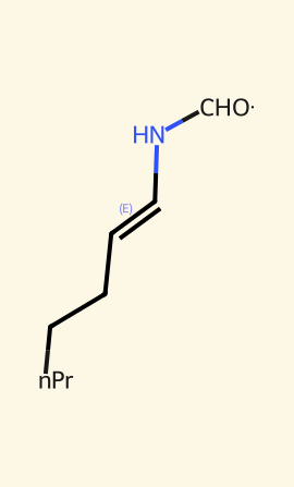 CCCCC/C=C/N[C]=O